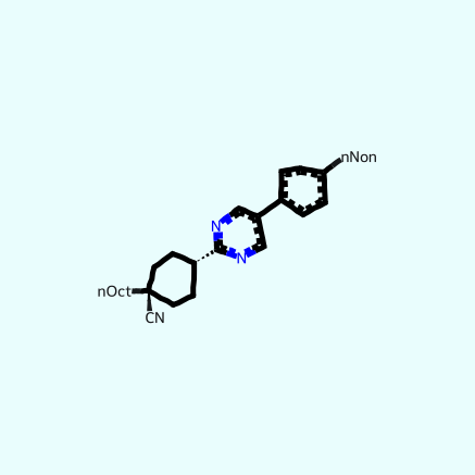 CCCCCCCCCc1ccc(-c2cnc([C@H]3CC[C@@](C#N)(CCCCCCCC)CC3)nc2)cc1